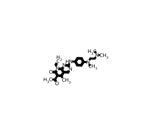 C=Cn1c(=O)c(C(C)=O)c(C)c2cnc(Nc3ccc(N(C)CCN(C)C)cc3)nc21